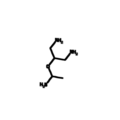 BC(C)OC(CN)CN